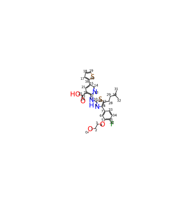 COCCOc1cc(-c2nc(Nc3ncc(-c4cccs4)cc3C(=O)O)sc2CCC(C)C)ccc1F